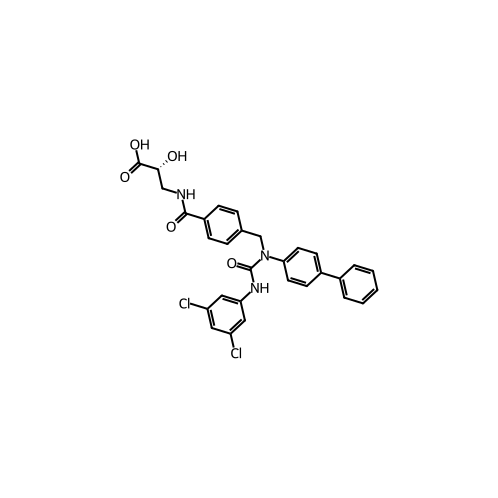 O=C(NC[C@@H](O)C(=O)O)c1ccc(CN(C(=O)Nc2cc(Cl)cc(Cl)c2)c2ccc(-c3ccccc3)cc2)cc1